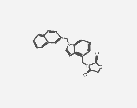 O=C1CSC(=O)N1Cc1cccc2c1ccn2Cc1ccc2ccccc2c1